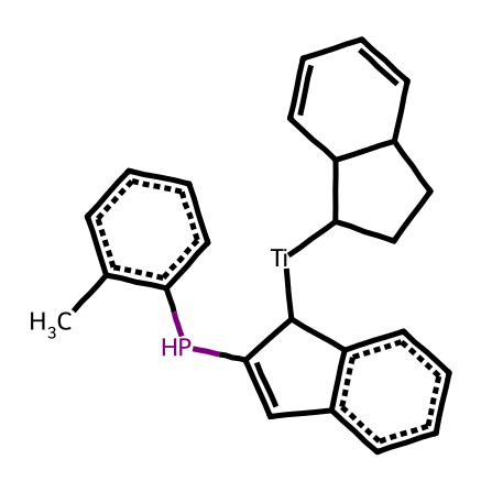 Cc1ccccc1PC1=Cc2ccccc2[CH]1[Ti][CH]1CCC2C=CC=CC21